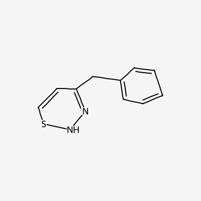 C1=CC(Cc2ccccc2)=NNS1